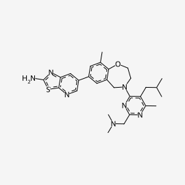 Cc1cc(-c2cnc3sc(N)nc3c2)cc2c1OCCN(c1nc(CN(C)C)nc(C)c1CC(C)C)C2